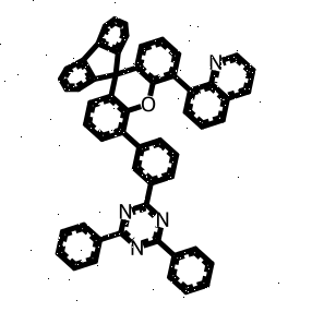 c1ccc(-c2nc(-c3ccccc3)nc(-c3cccc(-c4cccc5c4Oc4c(-c6cccc7cccnc67)cccc4C54c5ccccc5-c5ccccc54)c3)n2)cc1